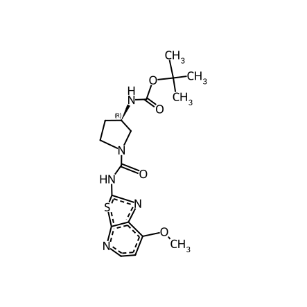 COc1ccnc2sc(NC(=O)N3CC[C@@H](NC(=O)OC(C)(C)C)C3)nc12